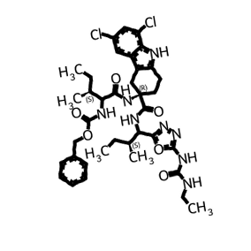 CCNC(=O)Nc1nnc(C(NC(=O)[C@@]2(NC(=O)C(NC(=O)OCc3ccccc3)[C@@H](C)CC)CCc3[nH]c4c(Cl)cc(Cl)cc4c3C2)[C@@H](C)CC)o1